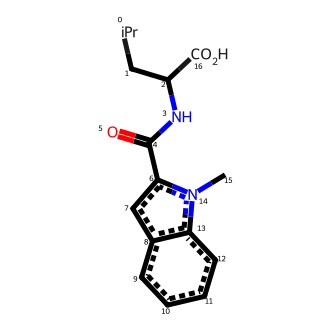 CC(C)CC(NC(=O)c1cc2ccccc2n1C)C(=O)O